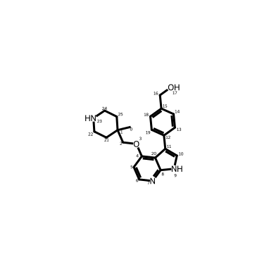 CC1(COc2ccnc3[nH]cc(-c4ccc(CO)cc4)c23)CCNCC1